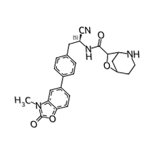 Cn1c(=O)oc2ccc(-c3ccc(C[C@@H](C#N)NC(=O)C4OC5CCNC4C5)cc3)cc21